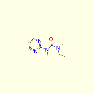 CCN(C)C(=O)N(C)c1ncccn1